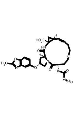 Cc1nc2cc(O[C@@H]3C[C@H]4C(=O)N[C@]5(C(=O)O)C[C@H]5/C=C\CCCCC[C@H](NC(=O)OC(C)(C)C)C(=O)N4C3)ccc2o1